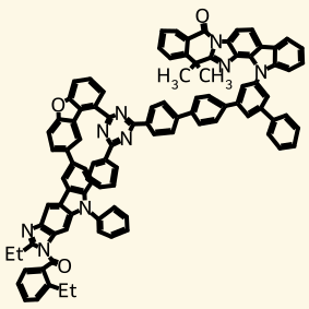 CCc1ccccc1C(=O)n1c(CC)nc2cc3c4cc(-c5ccc6oc7cccc(-c8nc(-c9ccccc9)nc(-c9ccc(-c%10ccc(-c%11cc(-c%12ccccc%12)cc(-n%12c%13ccccc%13c%13ccc%14c(nc%15n%14C(=O)c%14ccccc%14C%15(C)C)c%13%12)c%11)cc%10)cc9)n8)c7c6c5)ccc4n(-c4ccccc4)c3cc21